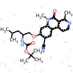 Cc1nccc2c1c(=O)n(C)c1cc(OCC(CC(C)C)NC(=O)OC(C)(C)C)c(C#N)cc21